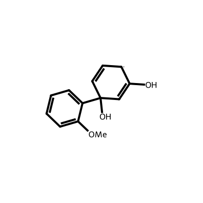 COc1ccccc1C1(O)C=C[CH]C(O)=C1